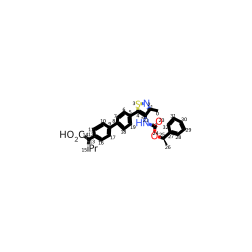 Cc1nsc(-c2ccc(-c3ccc(C(C(=O)O)C(C)C)cc3)cc2)c1NC(=O)O[C@H](C)c1ccccc1